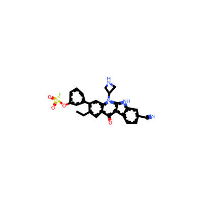 CCc1cc2c(=O)c3c4ccc(C#N)cc4[nH]c3n(C3CNC3)c2cc1-c1cccc(OS(=O)(=O)F)c1